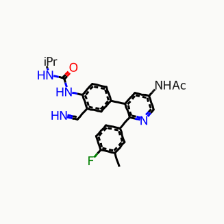 CC(=O)Nc1cnc(-c2ccc(F)c(C)c2)c(-c2ccc(NC(=O)NC(C)C)c(C=N)c2)c1